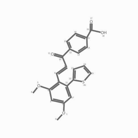 COc1cc(OC)c(C=CC(=O)c2ccc(C(=O)O)cc2)c(-c2cccs2)c1